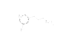 CCc1cncc(CCCN)c1